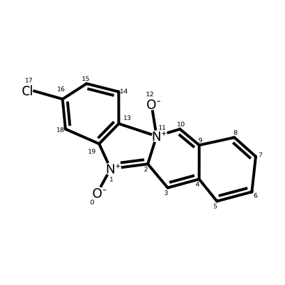 [O-][N+]1=C2C=c3ccccc3=C[N+]2([O-])c2ccc(Cl)cc21